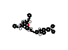 CC1=C(C(=O)OCc2ccccc2)C(C)N2C1=C(c1c(C)cc(OC(=O)CCCc3ccc(N4C(=O)c5cccc6c(-c7ccc(N(c8ccccc8)c8ccccc8)cc7)ccc(c56)C4=O)cc3)cc1C)c1c(C)c(C(=O)OCc3ccccc3)c(C)n1[B-]2(F)F